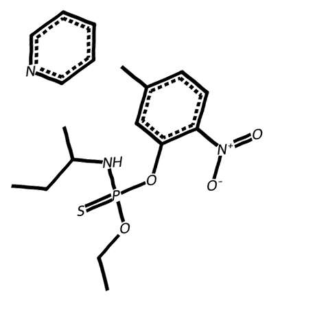 CCOP(=S)(NC(C)CC)Oc1cc(C)ccc1[N+](=O)[O-].c1ccncc1